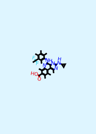 Cc1c(C)c(Nc2nc3c(C)c(C(=O)O)c(C)c(C)c3c3c(C)nc(NC4CC4)nc23)c(C)c(C(C)(F)F)c1C